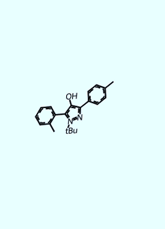 Cc1ccc(-c2nn(C(C)(C)C)c(-c3ccccc3C)c2O)cc1